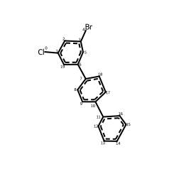 Clc1cc(Br)cc(-c2ccc(-c3ccccc3)cc2)c1